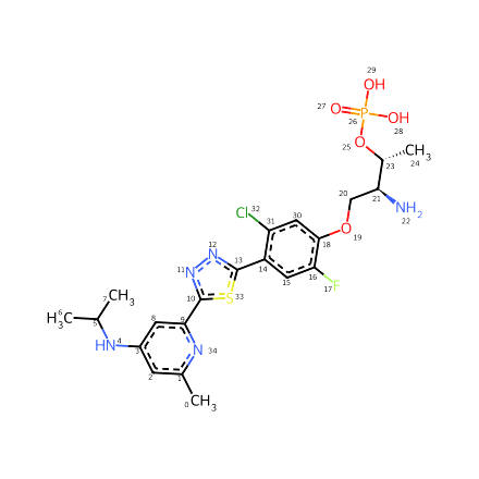 Cc1cc(NC(C)C)cc(-c2nnc(-c3cc(F)c(OC[C@H](N)[C@@H](C)OP(=O)(O)O)cc3Cl)s2)n1